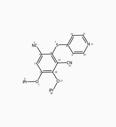 CC(C)Oc1cc(C#N)c(Sc2ccncc2)c(C#N)c1OC(C)C